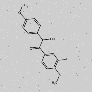 COc1ccc(C(O)C(=O)c2ccc(SC)c(F)c2)cc1